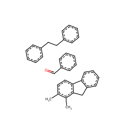 Cc1ccc2c(c1C)Cc1ccccc1-2.O=Cc1ccccc1.c1ccc(CCc2ccccc2)cc1